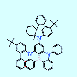 CC(C)(C)c1ccc(N2c3ccccc3B3c4ccccc4N(c4ccccc4)c4cc(N5c6ccc(C(C)(C)C)cc6C6(c7ccccc7)CCCCC56C)cc2c43)c(-c2ccccc2)c1